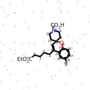 CCOC(=O)CCCCC1=CC2(CCN(C(=O)O)CC2)Oc2ccc(F)cc21